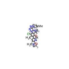 C=C(CNC)c1c(N)ncnc1NC(C)c1cc(Cl)c(C)c(-c2ccc(C(=O)N(C)C)nc2)c1OCC